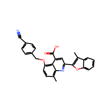 Cc1c(-c2cc(C(=O)O)c3c(OCc4ccc(C#N)cc4)ccc(C)c3n2)oc2ccccc12